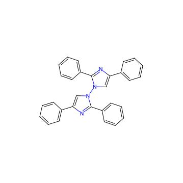 c1ccc(-c2cn(-n3cc(-c4ccccc4)nc3-c3ccccc3)c(-c3ccccc3)n2)cc1